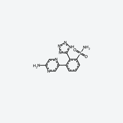 Nc1cnc(-c2cccc(S(N)(=O)=O)c2-c2nnn[nH]2)cn1